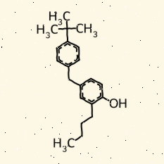 CCCCc1cc(Cc2ccc(C(C)(C)C)cc2)ccc1O